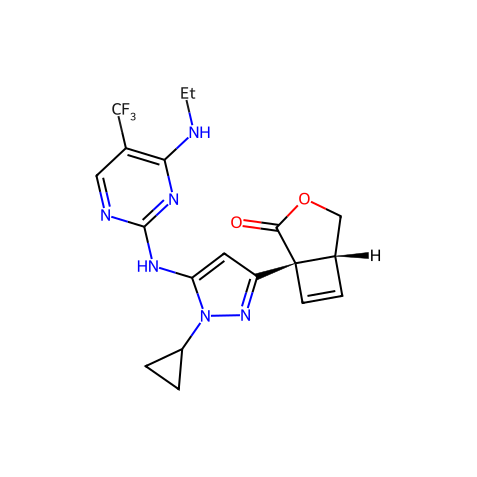 CCNc1nc(Nc2cc([C@]34C=C[C@H]3COC4=O)nn2C2CC2)ncc1C(F)(F)F